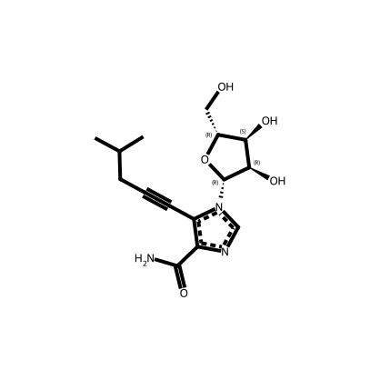 CC(C)CC#Cc1c(C(N)=O)ncn1[C@@H]1O[C@H](CO)[C@@H](O)[C@H]1O